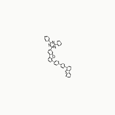 c1ccc(-c2nc(-c3ccccc3)nc(-c3ccc4c(c3)oc3c(-c5ccc(-c6ccc(-c7cccc8c7sc7ccccc78)cc6)cc5)cccc34)n2)cc1